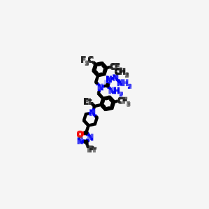 CCC(c1ccc(C(F)(F)F)cc1CN(Cc1cc(C(F)(F)F)cc(C(F)(F)F)c1)/C(N)=N/N(C)N)N1CCC(c2nc(C(C)C)no2)CC1